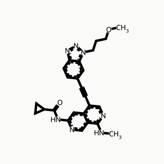 CNc1ncc(C#Cc2ccc3nnn(CCCOC)c3c2)c2cc(NC(=O)C3CC3)ncc12